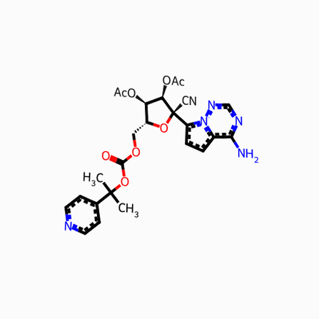 CC(=O)O[C@H]1[C@@H](OC(C)=O)[C@](C#N)(c2ccc3c(N)ncnn23)O[C@@H]1COC(=O)OC(C)(C)c1ccncc1